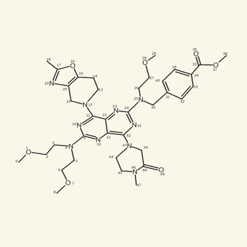 COCCN(CCOC)c1nc(N2CCc3oc(C)nc3C2)c2nc(N(CCOC)Cc3ccc(C(=O)OC)cc3)nc(N3CCN(C)C(=O)C3)c2n1